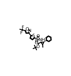 CC1[C@H](c2ccccc2)[C@]1(NS(=O)(=O)c1ccc(-c2cc(C(C)(F)F)on2)s1)C(=O)OC(C)(C)C